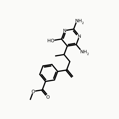 C=C(CC(C)c1c(N)nc(N)nc1O)c1cccc(C(=O)OC)c1